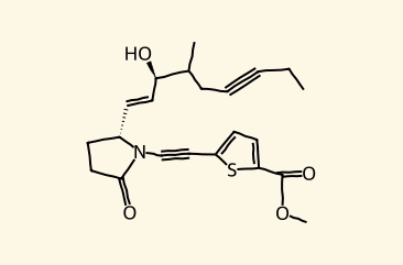 CCC#CCC(C)[C@H](O)/C=C/[C@H]1CCC(=O)N1C#Cc1ccc(C(=O)OC)s1